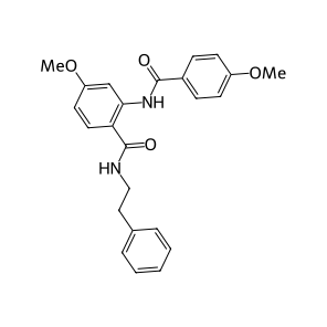 COc1ccc(C(=O)Nc2cc(OC)ccc2C(=O)NCCc2ccccc2)cc1